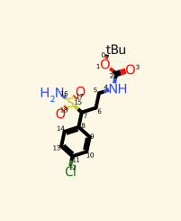 CC(C)(C)OC(=O)NCCC(c1ccc(Cl)cc1)S(N)(=O)=O